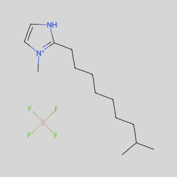 CC(C)CCCCCCCc1[nH]cc[n+]1C.F[B-](F)(F)F